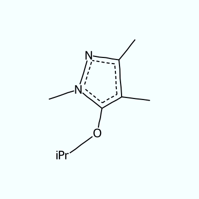 Cc1nn(C)c(OC(C)C)c1C